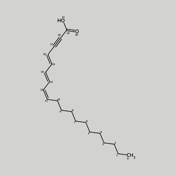 CCCCCCCCCCC\C=C/C=C/C=C/C#CC(=O)O